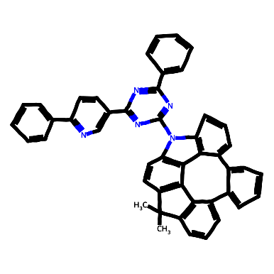 CC1(C)c2cccc3c4ccccc4c4cccc5c4c4c(c1ccc4n5-c1nc(-c4ccccc4)nc(-c4ccc(-c5ccccc5)nc4)n1)c23